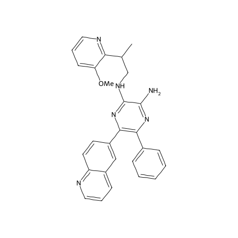 COc1cccnc1C(C)CNc1nc(-c2ccc3ncccc3c2)c(-c2ccccc2)nc1N